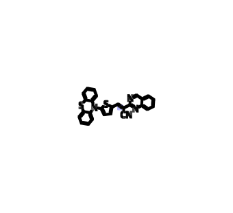 N#C/C(=C\c1ccc(N2c3ccccc3Sc3ccccc32)s1)c1ncc2ccccc2n1